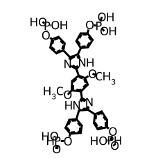 COc1cc(-c2nc(-c3ccc(O[PH](=O)O)cc3)c(-c3ccc(O[PH](=O)O)cc3)[nH]2)c(OC)cc1-c1nc(-c2ccc(OP(O)O)cc2)c(-c2ccc(OP(O)O)cc2)[nH]1